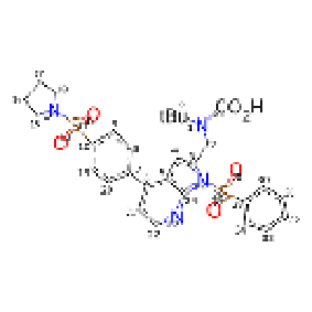 CC(C)(C)N(Cc1cc2c(-c3ccc(S(=O)(=O)N4CCCC4)cc3)ccnc2n1S(=O)(=O)c1ccccc1)C(=O)O